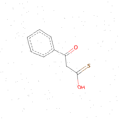 O=C(CC(O)=S)c1ccccc1